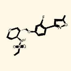 CCS(=O)(=O)N[C@H]1CCOC[C@@H]1COc1ccc(-c2cc(C)on2)c(F)c1